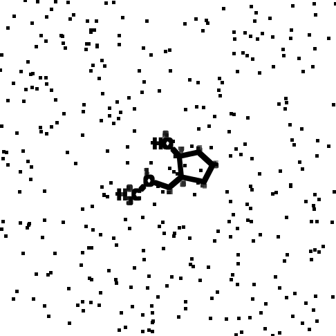 COCC1CCC[C]1O